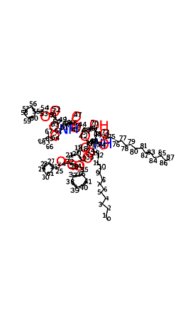 CCCCCCCCCCCCCC(=O)N[C@H]1[C@@H](OCC(CC(=O)OCc2ccccc2)C(=O)OCc2ccccc2)O[C@H](COC(=O)[C@@H](CCC(=O)OCc2ccccc2)NC(=O)OC(C)(C)C)[C@@H](O)[C@@H]1OC(=O)CCCCCCCCCCCCC